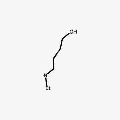 CC[N]CCCCO